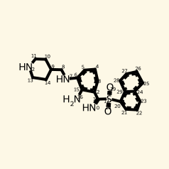 N=C(c1cccc(NCC2CCNCC2)c1N)S(=O)(=O)c1cccc2ccccc12